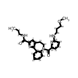 CCCNC(=O)c1cc2c(s1)-c1ccccc1N(C(=O)c1cccc(NCCCOC)n1)CC2